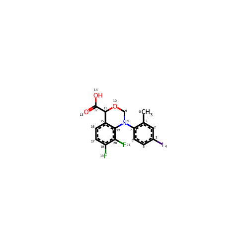 Cc1cc(I)ccc1N1COC(C(=O)O)c2ccc(F)c(F)c21